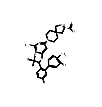 Cc1ccc(-c2cc(Cl)ccc2C(Oc2cc(N3CCC4(CC3)CN[C@H](C(=O)O)C4)nc(N)n2)C(F)(F)F)cc1Cl